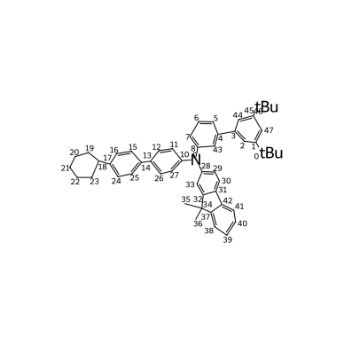 CC(C)(C)c1cc(-c2cccc(N(c3ccc(-c4ccc(C5CCCCC5)cc4)cc3)c3ccc4c(c3)C(C)(C)c3ccccc3-4)c2)cc(C(C)(C)C)c1